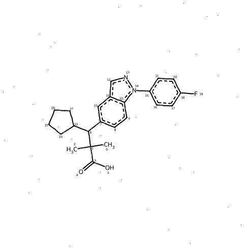 CC(C)(C(=O)O)C(c1ccc2c(cnn2-c2ccc(F)cc2)c1)C1CCCC1